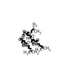 CC(C)CCn1cc([N+](=O)[O-])cc1C(=O)Nc1cc(C(=O)NCCCN(C)C)n(C)c1.CN(C)CCCNC(=O)c1cc([N+](=O)[O-])cn1C